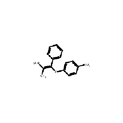 CN/C(C)=C(/Oc1ccc([N+](=O)[O-])cc1)c1ccccc1